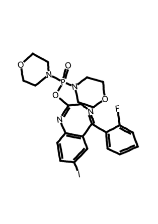 O=P(OC1=Nc2ccc(I)cc2C(c2ccccc2F)=NC1)(N1CCOCC1)N1CCOCC1